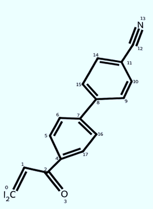 C=CC(=O)c1ccc(-c2ccc(C#N)cc2)cc1